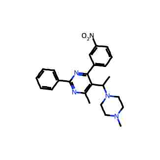 Cc1nc(-c2ccccc2)nc(-c2cccc([N+](=O)[O-])c2)c1C(C)N1CCN(C)CC1